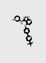 FC(F)(F)c1ccc(-c2ccc(Oc3ccnc4[nH]nc(N[C@@H]5CCCNC5)c34)cc2)nc1